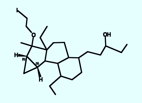 CCC(O)CCC1CCC(CC)C2C1CCC1(CC)C2[C@@H]2C[C@@H]2C1(C)OCCI